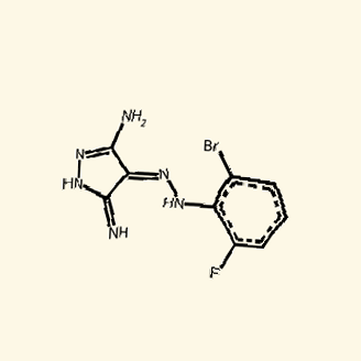 N=C1NN=C(N)/C1=N/Nc1c(F)cccc1Br